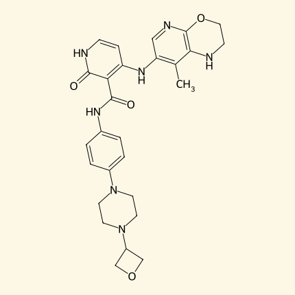 Cc1c(Nc2cc[nH]c(=O)c2C(=O)Nc2ccc(N3CCN(C4COC4)CC3)cc2)cnc2c1NCCO2